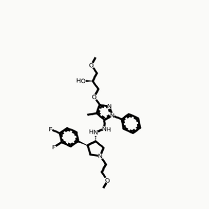 COCCN1C[C@@H](NNc2c(C)c(OC[C@@H](O)COC)nn2-c2ccccc2)[C@H](c2ccc(F)c(F)c2)C1